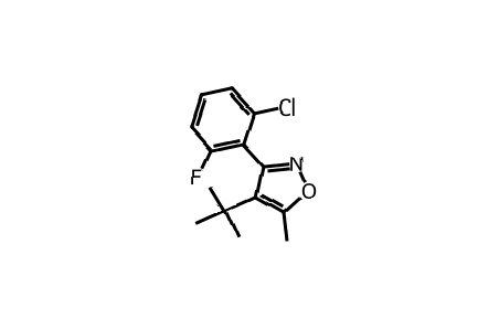 Cc1onc(-c2c(F)cccc2Cl)c1C(C)(C)C